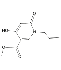 C=CCn1cc(C(=O)OC)c(O)cc1=O